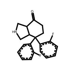 O=C1CCC(c2ccccc2F)(c2ccccc2F)C2CNCC12